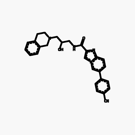 N#Cc1ccc(-c2ccc3nc(C(=O)NCC(O)CN4CCc5ccccc5C4)cn3c2)cc1